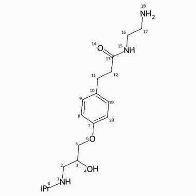 CC(C)NCC(O)COc1ccc(CCC(=O)NCCN)cc1